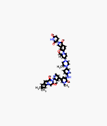 C[C@H]1CN([C@@H]2CCN3c4ccc5c(c4OC[C@@H]3C2)CN(C2CCC(=O)NC2=O)C5=O)CCN1c1ccc(Nc2cc(-c3ccnc(N4CCn5c(cc6c5CC(C)(C)C6)C4=O)c3CO)cn(C)c2=O)nc1